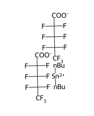 CCC[CH2][Sn+2][CH2]CCC.O=C([O-])C(F)(F)C(F)(F)C(F)(F)C(F)(F)F.O=C([O-])C(F)(F)C(F)(F)C(F)(F)C(F)(F)F